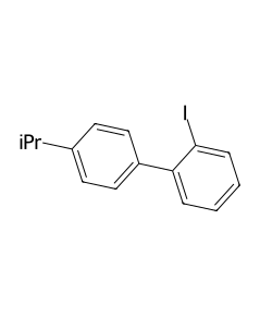 CC(C)c1ccc(-c2ccccc2I)cc1